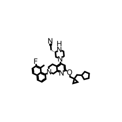 Cc1c(F)ccc2cccc(N3CCc4c(N5CCN[C@@H](CC#N)C5)cc(OCC5(CC6CCCC6)CC5)nc4C3)c12